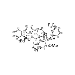 COc1cn2nccc2c(C2(CCO[Si](c3ccccc3)(c3ccccc3)C(C)(C)C)CCCCC2)c1C(=O)Nc1cccc(C(F)(F)F)n1